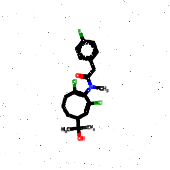 CN(C(=O)Cc1ccc(F)cc1)C1=C(\Cl)CCCC(C(C)(O)C(F)(F)F)/C=C\1Cl